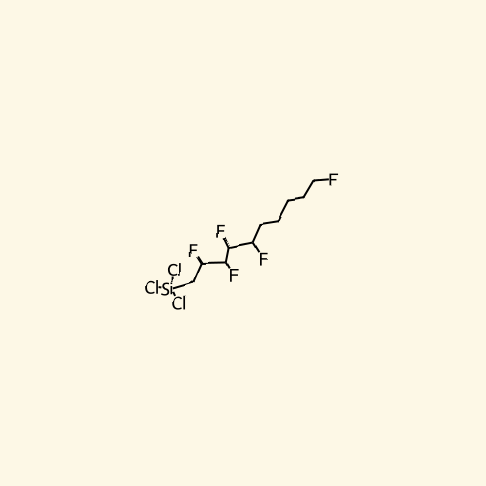 FCCCCCC(F)C(F)C(F)C(F)C[Si](Cl)(Cl)Cl